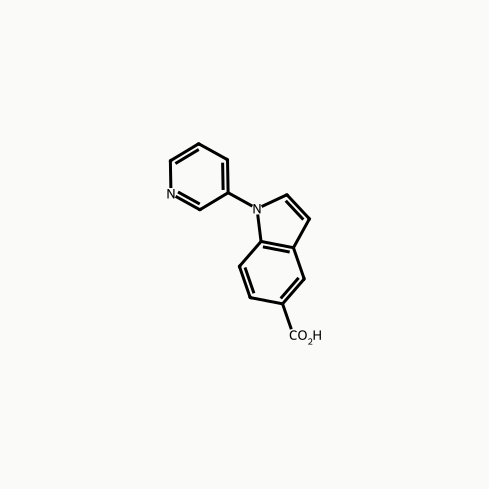 O=C(O)c1ccc2c(ccn2-c2cccnc2)c1